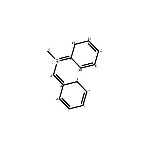 C[Si](C=C1C=CC=CC1)=C1C=CC=CC1